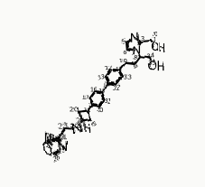 C[C@H](O)c1nccn1C(/C=C/c1ccc(-c2ccc(C3CC(NCc4ncon4)C3)cc2)cc1)CO